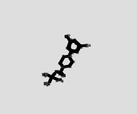 CC(C)(C)OC(=O)N1CCN(c2cc(Cl)cc(Cl)c2)CC1